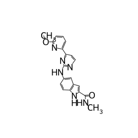 CNC(=O)c1cc2cc(Nc3nccc(-c4cccc(OC)n4)n3)ccc2[nH]1